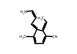 C/C=c1/c(C#N)ccc(C)/c1=C/C=C\N